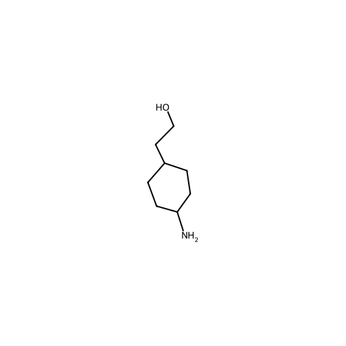 NC1CCC(CCO)CC1